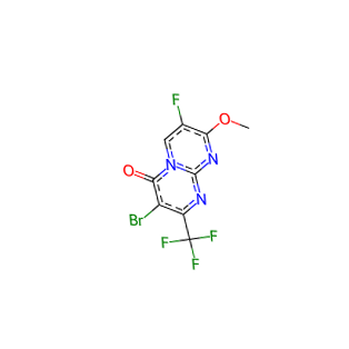 COc1nc2nc(C(F)(F)F)c(Br)c(=O)n2cc1F